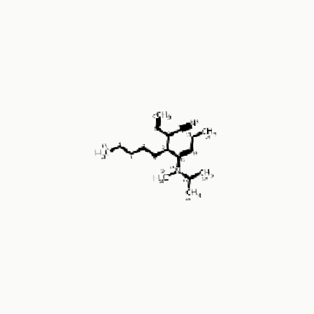 C=CC(C#N)C(CCCCC)/C(=C\CC)N(C)C(C)C